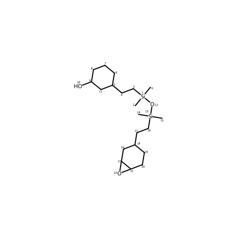 C[Si](C)(CCC1CCCC(O)C1)O[Si](C)(C)CCC1CCC2OC2C1